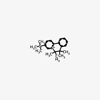 CC1(C)c2ccccc2-c2ccc([Si](C)(C)C)c[n+]2C1(C)C